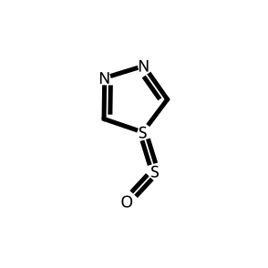 O=S=S1C=NN=C1